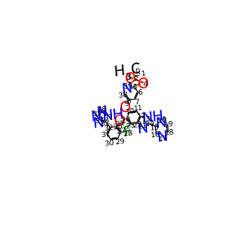 CCS(=O)(=O)c1ccc(Oc2cc3[nH]c(-c4cnccn4)nc3cc2Oc2c(F)cccc2-c2nnn[nH]2)cn1